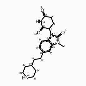 Cn1c(=O)n(C2CCC(=O)NC2=O)c2ccc(CCC3CCNCC3)cc21